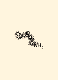 C/C=C\c1ccccc1Oc1ccc(C(=O)c2ccc(Oc3ccccc3/C=C\N)cc2)cc1